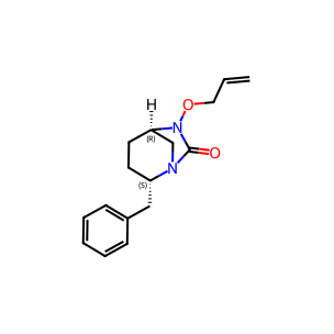 C=CCON1C(=O)N2C[C@H]1CC[C@H]2Cc1ccccc1